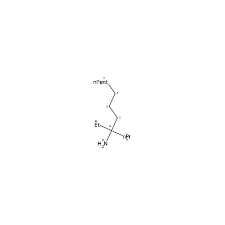 CCCCCCCCC(N)(CC)CCC